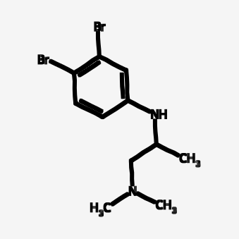 CC(CN(C)C)Nc1ccc(Br)c(Br)c1